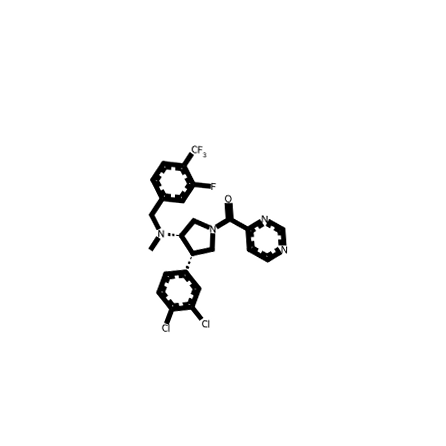 CN(Cc1ccc(C(F)(F)F)c(F)c1)[C@@H]1CN(C(=O)c2ccncn2)C[C@@H]1c1ccc(Cl)c(Cl)c1